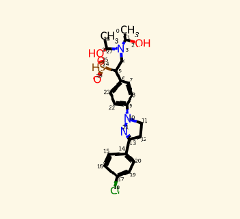 CC(O)N(CC(c1ccc(N2CCC(c3ccc(Cl)cc3)=N2)cc1)[SH](=O)=O)C(C)O